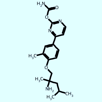 Cc1cc(-c2ccnc(OC(N)=O)n2)ccc1OCC(C)(N)CC(C)C